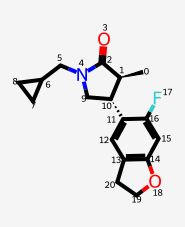 C[C@@H]1C(=O)N(CC2CC2)C[C@H]1c1cc2c(cc1F)OCC2